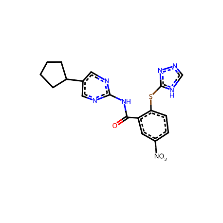 O=C(Nc1ncc(C2CCCC2)cn1)c1cc([N+](=O)[O-])ccc1Sc1nnc[nH]1